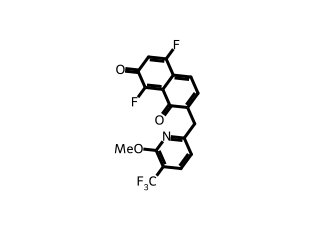 COc1nc(CC2=CC=C3C(F)=CC(=O)C(F)=C3C2=O)ccc1C(F)(F)F